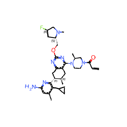 C=CC(=O)N1CCN(c2nc(OC[C@@H]3C[C@@H](F)CN3C)nc3c2C[C@@H](C)[C@H](c2nc(N)cc(C)c2C2CC2)C3)C(C)C1